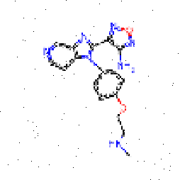 CNCCOc1ccc(-n2c(-c3nonc3N)nc3cnccc32)cc1